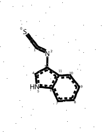 S=C=Nc1c[nH]c2ccccc12